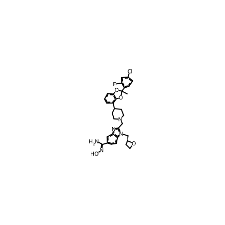 CC1(c2ccc(Cl)cc2F)Oc2cccc(C3CCN(Cc4nc5cc(C(N)=NO)ccc5n4C[C@@H]4CCO4)CC3)c2O1